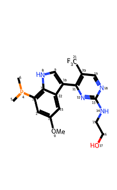 COc1cc(P(C)C)c2[nH]cc(-c3nc(NCCO)ncc3C(F)(F)F)c2c1